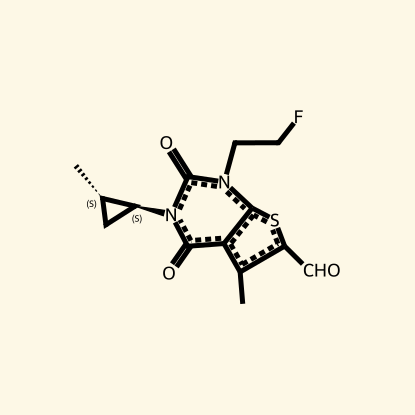 Cc1c(C=O)sc2c1c(=O)n([C@H]1C[C@@H]1C)c(=O)n2CCF